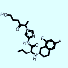 CCC[C@H](N[C@H]1CCc2cc(F)cc(F)c2C1)C(=O)Nc1cn(C(C)C(=O)CCCO)cn1